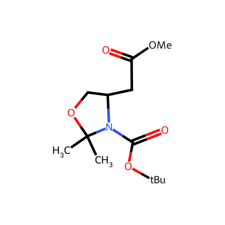 COC(=O)CC1COC(C)(C)N1C(=O)OC(C)(C)C